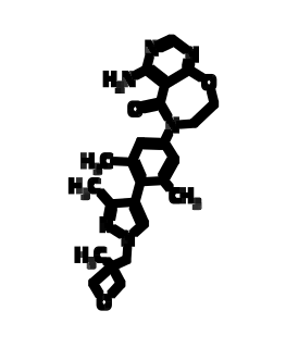 Cc1cc(N2CCOc3ncnc(N)c3C2=O)cc(C)c1-c1cn(CC2(C)COC2)nc1C